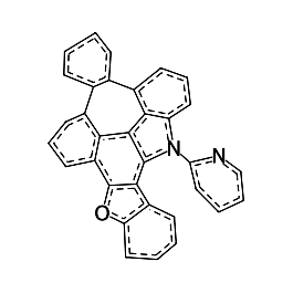 c1ccc(-n2c3cccc4c3c3c5c(cccc5c5oc6ccccc6c5c32)-c2ccccc2-4)nc1